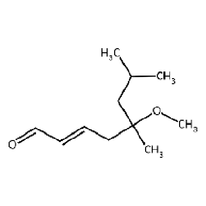 COC(C)(CC=CC=O)CC(C)C